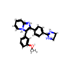 COc1cccc(-c2c(-c3ccc(C4=NCCN4)cc3)nc3ccccn23)c1